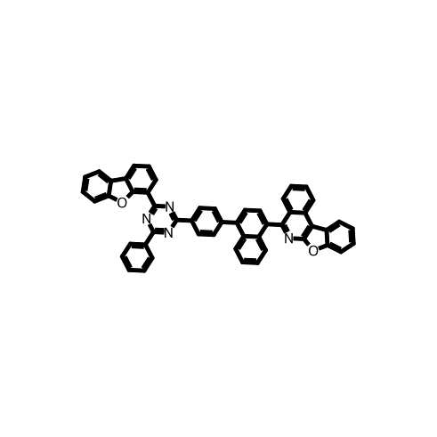 c1ccc(-c2nc(-c3ccc(-c4ccc(-c5nc6oc7ccccc7c6c6ccccc56)c5ccccc45)cc3)nc(-c3cccc4c3oc3ccccc34)n2)cc1